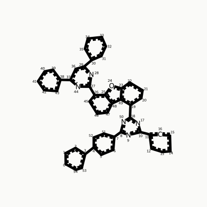 c1ccc(-c2ccc(-c3nc(-c4ccccc4)nc(-c4cccc5oc6c(-c7nc(-c8ccccc8)cc(-c8ccccc8)n7)cccc6c45)n3)cc2)cc1